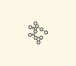 c1ccc(-c2ccc(-c3cc4ccccc4c4c3c3ccc(N(c5ccccc5)c5ccc6c7ccccc7c7ccccc7c6c5)cc3n4-c3ccccc3)cc2)cc1